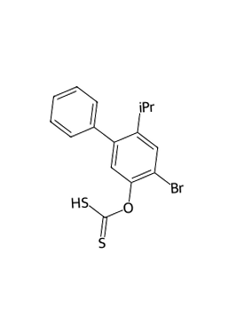 CC(C)c1cc(Br)c(OC(=S)S)cc1-c1ccccc1